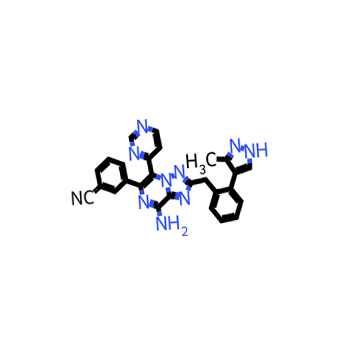 Cc1n[nH]cc1-c1ccccc1Cc1nc2c(N)nc(-c3cccc(C#N)c3)c(-c3ccncn3)n2n1